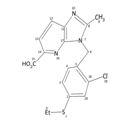 CCSc1ccc(Cn2c(C)nc3ccc(C(=O)O)nc32)c(Cl)c1